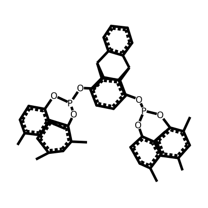 Cc1ccc(OP(OCC2C3c4ccccc4C(c4ccccc43)C2COP(Oc2ccc(C)cc2C)Oc2ccc(C)cc2C)Oc2ccc(C)cc2C)c(C)c1